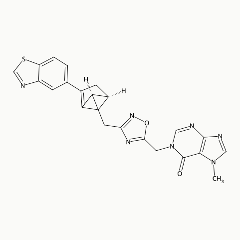 Cn1cnc2ncn(Cc3nc(CC45C6=C(c7ccc8scnc8c7)C[C@@H]4[C@H]65)no3)c(=O)c21